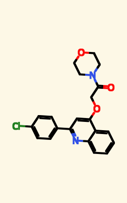 O=C(COc1cc(-c2ccc(Cl)cc2)nc2ccccc12)N1CCOCC1